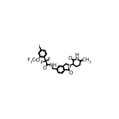 C=C1CCC(N2Cc3cc(CNC(=O)C(F)(F)c4ccc(I)cc4OC(F)(F)F)ccc3C2=O)C(=O)N1